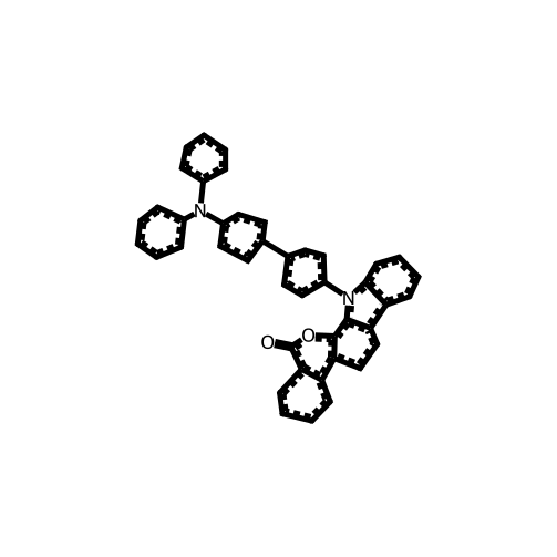 O=c1oc2c(ccc3c4ccccc4n(-c4ccc(-c5ccc(N(c6ccccc6)c6ccccc6)cc5)cc4)c32)c2ccccc12